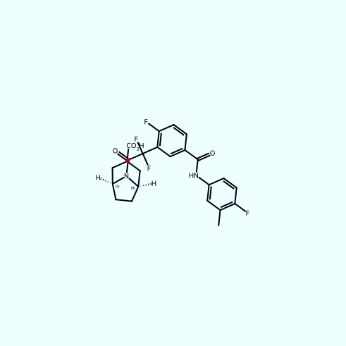 Cc1cc(NC(=O)c2ccc(F)c(C(F)(F)C(=O)N3[C@@H]4CC[C@H]3CC(C(=O)O)C4)c2)ccc1F